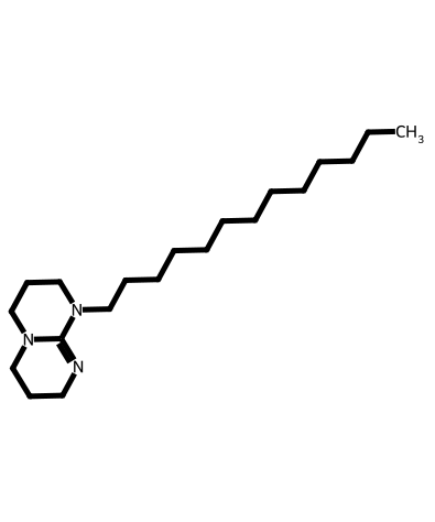 CCCCCCCCCCCCCN1CCCN2CCCN=C12